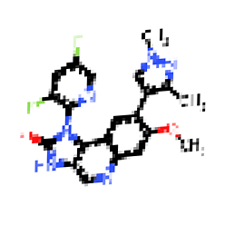 COc1cc2ncc3[nH]c(=O)n(-c4ncc(F)cc4F)c3c2cc1-c1cn(C)nc1C